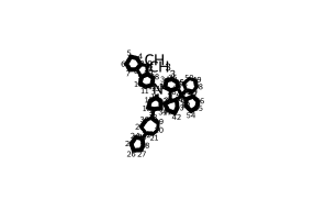 CC1(C)c2ccccc2-c2ccc(N(c3ccc(C4=CCC=C(c5ccccc5)C=C4)cc3)c3cccc4c3-c3ccccc3C4(C3=CC=CCC3)c3ccccc3)cc21